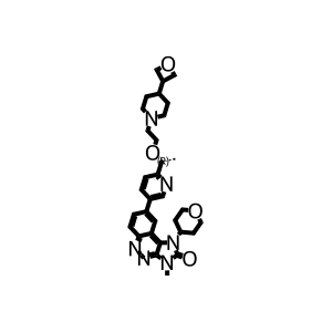 C[C@@H](OCCN1CCC(C2COC2)CC1)c1ccc(-c2ccc3nnc4c(c3c2)n(C2CCOCC2)c(=O)n4C)cn1